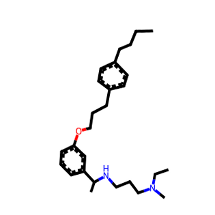 CCCCc1ccc(CCCOc2cccc(C(C)NCCCN(C)CC)c2)cc1